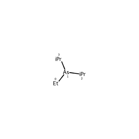 CC[As](C(C)C)C(C)C